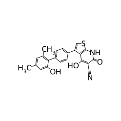 Cc1cc(C)c(-c2ccc(-c3csc4[nH]c(=O)c(C#N)c(O)c34)cc2)c(O)c1